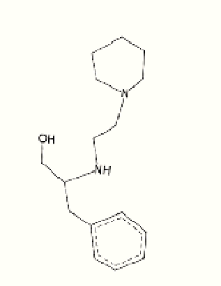 OCC(Cc1ccccc1)NCCN1CCCCC1